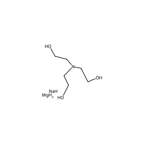 OCCN(CCO)CCO.[MgH2].[NaH]